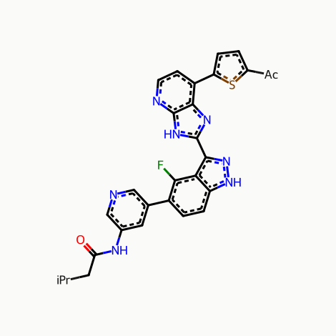 CC(=O)c1ccc(-c2ccnc3[nH]c(-c4n[nH]c5ccc(-c6cncc(NC(=O)CC(C)C)c6)c(F)c45)nc23)s1